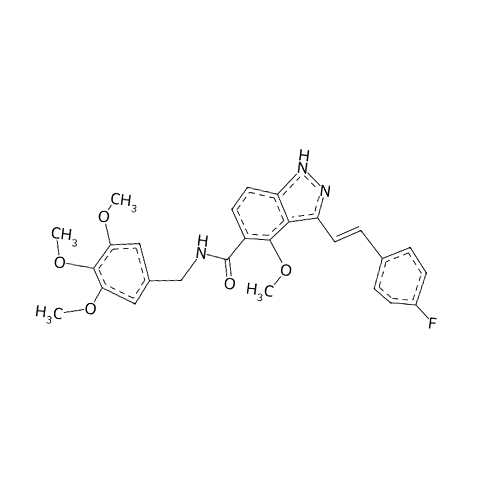 COc1cc(CNC(=O)c2ccc3[nH]nc(C=Cc4ccc(F)cc4)c3c2OC)cc(OC)c1OC